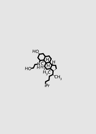 CC(C)CCC[C@@H](C)[C@H]1CC[C@H]2[C@@H]3CCC4C[C@@H](O)CC(NCCO)[C@]4(C)[C@H]3CC[C@]12C